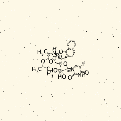 CC(C)OC(=O)[C@H](C)NP(=O)(OC[C@@]1(C(F)F)O[C@@H](n2cc(F)c(=O)[nH]c2=O)[C@H](O)[C@@H]1O)Oc1cccc2ccccc12